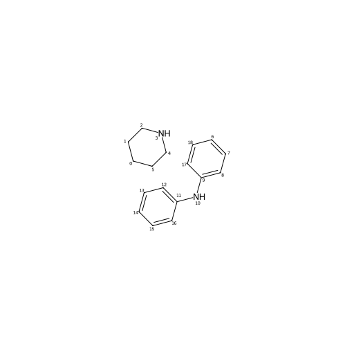 C1CCNCC1.c1ccc(Nc2ccccc2)cc1